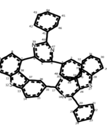 c1ccc(-c2cc(-c3cccc4sc5ccc(-c6nc(-c7ccccc7)c7sc8ccccc8c7n6)cc5c34)nc(-c3ccccc3)n2)cc1